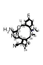 C/N=C1/c2ccc(F)cc2[C@@H](C)Oc2nc(cnc2N)-c2c(nn(C)c2C#N)CN1C